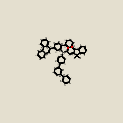 CC1(C)c2ccccc2-c2ccc(N(c3ccc(-c4cccc(-c5ccccc5)c4)cc3)c3cc(-c4cc5ccccc5c5ccccc45)ccc3C3=CC=CCC3)cc21